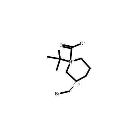 CC(C)(C)[N+]1(C(=O)[O-])CCC[C@H](CBr)C1